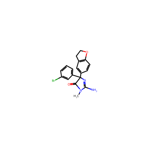 CN1C(=O)C(c2cccc(Br)c2)(c2ccc3c(c2)CCO3)N=C1N